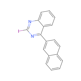 Ic1nc(-c2ccc3ccccc3c2)c2ccccc2n1